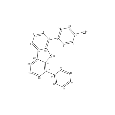 Clc1ccc(-c2cccc3c2sc2c(-c4ccccc4)cccc23)cc1